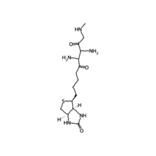 CNCC(=O)C(N)C(N)C(=O)CCCC[C@@H]1SC[C@@H]2NC(=O)N[C@@H]21